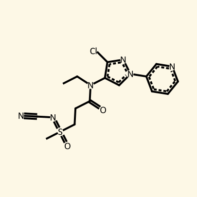 CCN(C(=O)CCS(C)(=O)=NC#N)c1cn(-c2cccnc2)nc1Cl